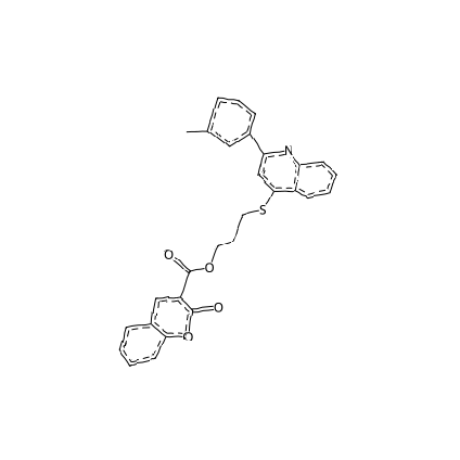 Cc1cccc(-c2cc(SCCCOC(=O)c3cc4ccccc4oc3=O)c3ccccc3n2)c1